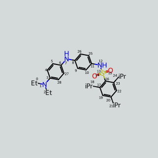 CCN(CC)c1ccc(Nc2ccc(NS(=O)(=O)c3c(C(C)C)cc(C(C)C)cc3C(C)C)cc2)cc1